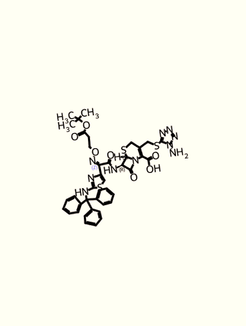 CC(C)(C)OC(=O)CCO/N=C(\C(=O)N[C@@H]1C(=O)N2C(C(=O)O)=C(CSc3nnnn3N)CS[C@@H]12)c1csc(NC(c2ccccc2)(c2ccccc2)c2ccccc2)n1